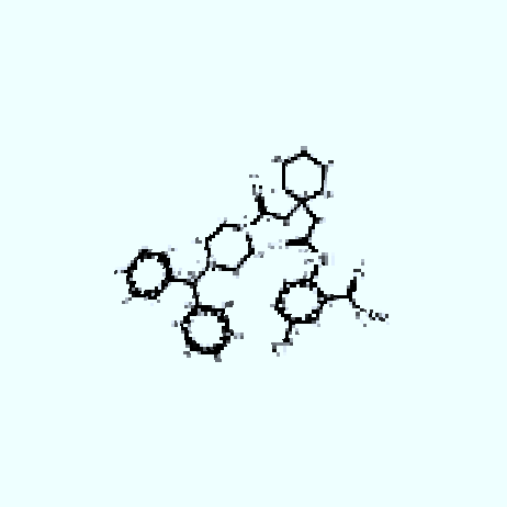 COC(=O)c1cc(Cl)ccc1NC(=O)CC1(CC(=O)N2CCN(C(c3ccccc3)c3ccccc3)CC2)CCCCC1